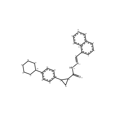 O=C(N/N=C/c1cccc2cnccc12)C1CC1c1ccc(C2CCCCC2)cc1